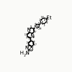 CCN1CCN(C2CN(c3cnc4ccc(-c5ccc6oc(N)nc6c5)nc4c3)C2)CC1